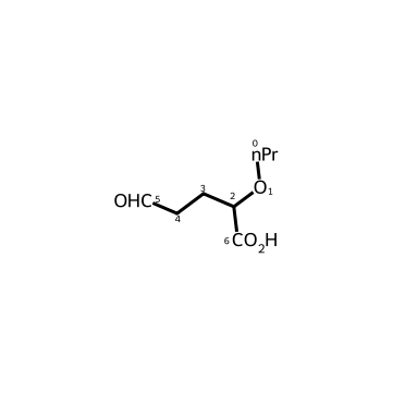 CCCOC(CCC=O)C(=O)O